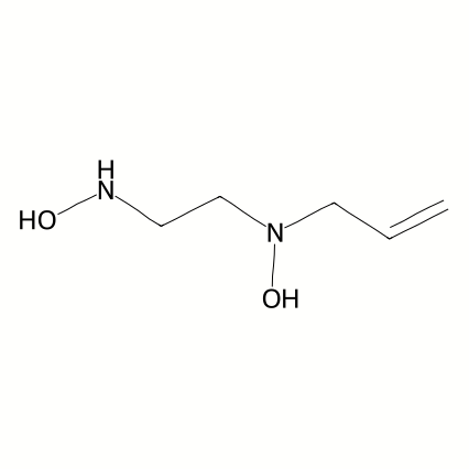 C=CCN(O)CCNO